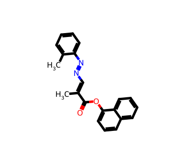 CC(=CN=Nc1ccccc1C)C(=O)Oc1cccc2ccccc12